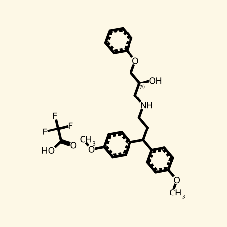 COc1ccc(C(CCNC[C@H](O)COc2ccccc2)c2ccc(OC)cc2)cc1.O=C(O)C(F)(F)F